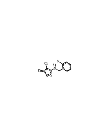 O=c1ssc(NCc2ccccc2F)c1Cl